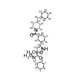 CN(Cc1ccccc1)C(=O)C1(C)C=C(c2cccc(C(=O)N3CCC(Cc4ccccc4)CC3)c2)NO1